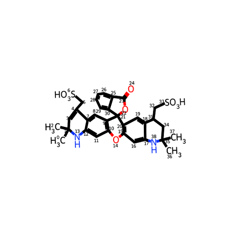 CC1(C)C=C(CS(=O)(=O)O)c2cc3c(cc2N1)Oc1cc2c(cc1C31OC(=O)c3ccccc31)C(CS(=O)(=O)O)CC(C)(C)N2